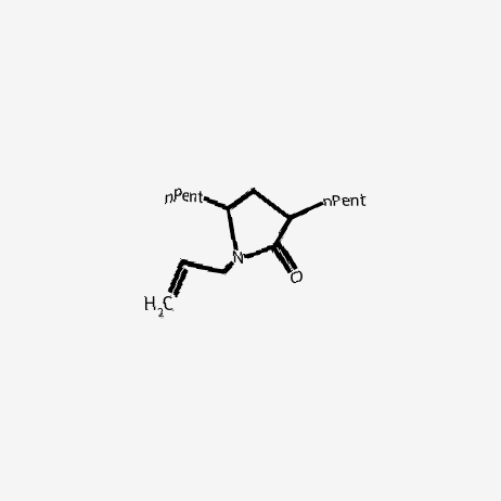 C=CCN1C(=O)C(CCCCC)CC1CCCCC